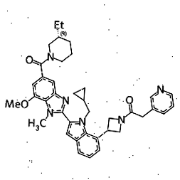 CC[C@@H]1CCCN(C(=O)c2cc(OC)c3c(c2)nc(-c2cc4cccc(C5CN(C(=O)Cc6cccnc6)C5)c4n2CC2CC2)n3C)C1